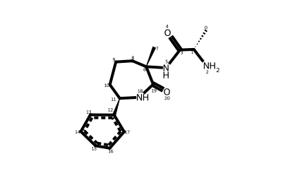 C[C@H](N)C(=O)N[C@@]1(C)CCC[C@H](c2ccccc2)NC1=O